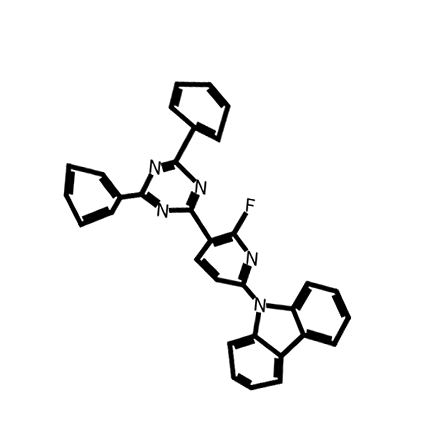 Fc1nc(-n2c3ccccc3c3ccccc32)ccc1-c1nc(-c2ccccc2)nc(-c2ccccc2)n1